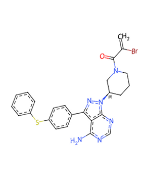 C=C(Br)C(=O)N1CCC[C@@H](n2nc(-c3ccc(Sc4ccccc4)cc3)c3c(N)ncnc32)C1